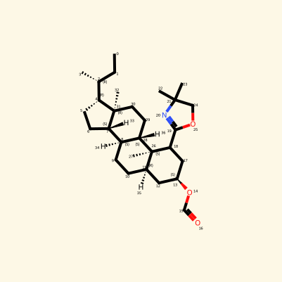 CC[C@@H](C)[C@H]1CC[C@H]2[C@@H]3CC[C@@H]4C[C@H](OC=O)CC(C5=NC(C)(C)CO5)[C@]4(C)[C@H]3CC[C@]12C